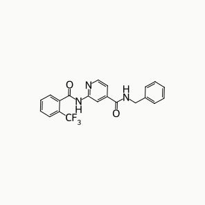 O=C(NCc1ccccc1)c1ccnc(NC(=O)c2ccccc2C(F)(F)F)c1